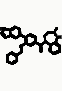 CC1CCN(C(=O)c2ccc(-c3ccc4[nH]ccc4c3)c(OCc3ccccc3)c2)c2ccccc2N1